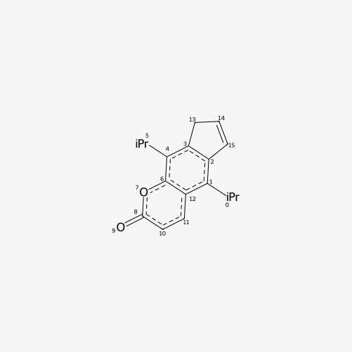 CC(C)c1c2c(c(C(C)C)c3oc(=O)ccc13)CC=C2